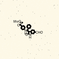 CON(C)C(=O)c1ccc(N/C(=C2\C(=O)Nc3cc(C=O)ccc32)c2ccccc2)cc1